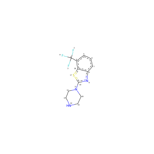 FC(F)(F)c1cccc2nc(N3CCNCC3)sc12